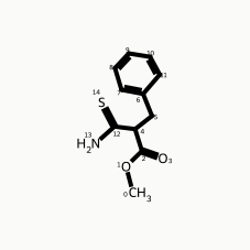 COC(=O)C(Cc1ccccc1)C(N)=S